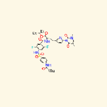 CCC(CC)OC(=O)[C@H](CCc1ccc(-n2c(=O)c(C)cn(C)c2=O)nc1)NC(=O)c1cc(F)c(NS(=O)(=O)c2ccc(NC(=O)C(C)(C)C)cc2)cc1F